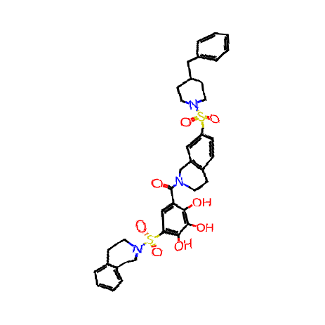 O=C(c1cc(S(=O)(=O)N2CCc3ccccc3C2)c(O)c(O)c1O)N1CCc2ccc(S(=O)(=O)N3CCC(Cc4ccccc4)CC3)cc2C1